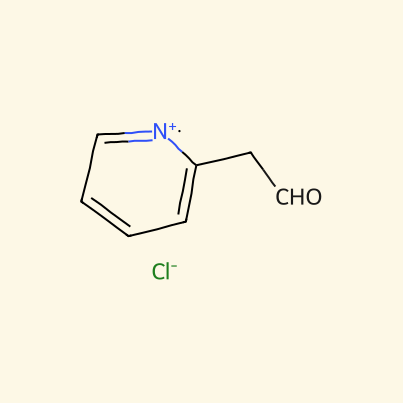 O=CCC1=CC=CC=[N+]1.[Cl-]